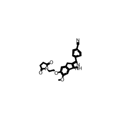 COc1cc2c(cc1OCCN1C(=O)CCC1=O)Cc1c(-c3ccc(C#N)cc3)n[nH]c1-2